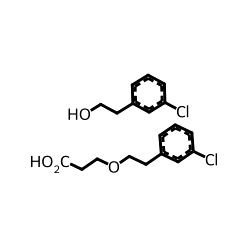 O=C(O)CCOCCc1cccc(Cl)c1.OCCc1cccc(Cl)c1